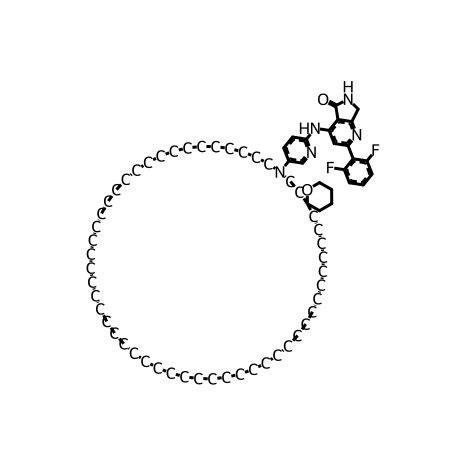 O=C1NCc2nc(-c3c(F)cccc3F)cc(Nc3ccc(N4CCCCCCCCCCCCCCCCCCCCCCCCCCCCCCCCCCCCCCCCCCCCCCCCC5(CCCCO5)CC4)cn3)c21